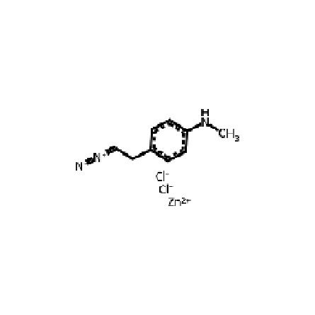 CNc1ccc(CC=[N+]=[N-])cc1.[Cl-].[Cl-].[Zn+2]